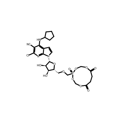 N#Cc1c(Cl)nc2c(ccn2[C@@H]2O[C@H](COCP3(=O)OCOC(=O)CCC(=O)OCO3)[C@@H](O)[C@H]2O)c1NC1CCCC1